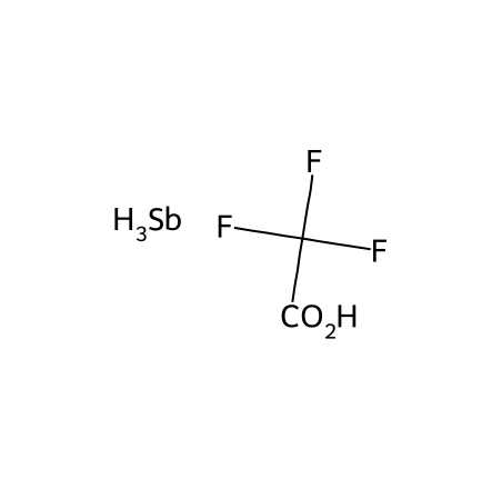 O=C(O)C(F)(F)F.[SbH3]